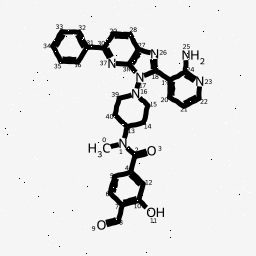 CN(C(=O)c1ccc(C=O)c(O)c1)C1CCN(n2c(-c3cccnc3N)nc3ccc(-c4ccccc4)nc32)CC1